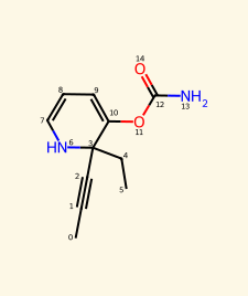 CC#CC1(CC)NC=CC=C1OC(N)=O